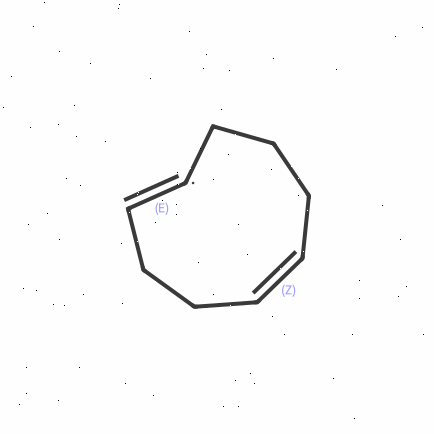 [C]1=C/CC/C=C\CCC/1